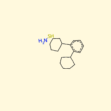 NS.c1ccc(C2CCCCC2)c(C2CCCCC2)c1